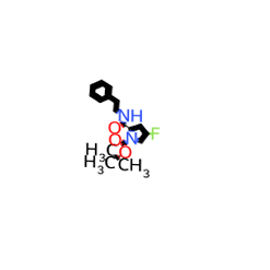 CC(C)(C)OC(=O)N1C[C@H](F)C[C@H]1C(=O)NCCc1ccccc1